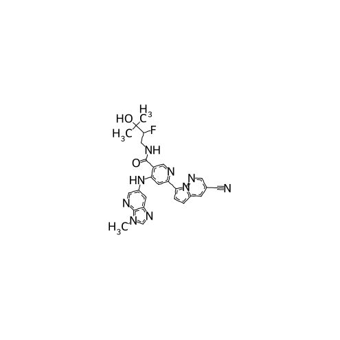 Cn1cnc2cc(Nc3cc(-c4ccc5cc(C#N)cnn45)ncc3C(=O)NCC(F)C(C)(C)O)cnc21